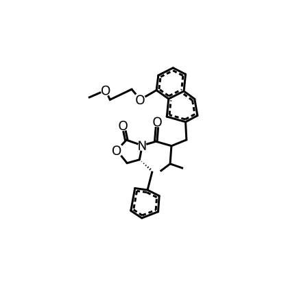 COCCOc1cccc2ccc(CC(C(=O)N3C(=O)OC[C@H]3Cc3ccccc3)C(C)C)cc12